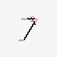 CCCCC/C=C/C(O)C(CO)NC(=O)C(C)CCCCCCCCCCCCCCCCCCCCCC